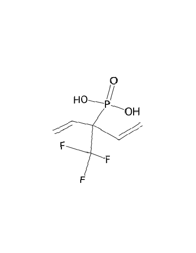 C=CC(C=C)(C(F)(F)F)P(=O)(O)O